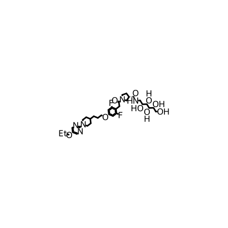 CCOc1cnc(N2CCC(CCCOc3cc(F)c(CC(=O)N4CC[C@H](C(=O)NCC(O)C(O)C(O)C(O)CO)C4)c(F)c3)CC2)nc1